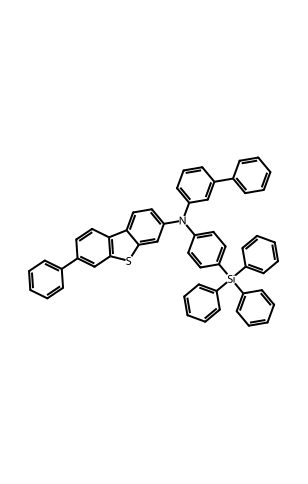 c1ccc(-c2cccc(N(c3ccc([Si](c4ccccc4)(c4ccccc4)c4ccccc4)cc3)c3ccc4c(c3)sc3cc(-c5ccccc5)ccc34)c2)cc1